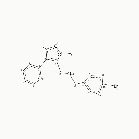 Cc1onc(-c2ccccc2)c1COCc1ccc(Br)cc1